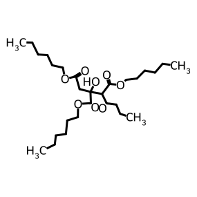 CCCCCCOC(=O)CC(O)(C(=O)OCCCCCC)C(C(=O)CCC)C(=O)OCCCCCC